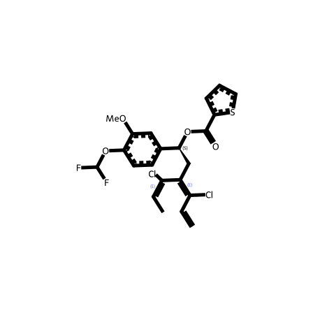 C=C/C(Cl)=C(C[C@H](OC(=O)c1cccs1)c1ccc(OC(F)F)c(OC)c1)\C(Cl)=C/C